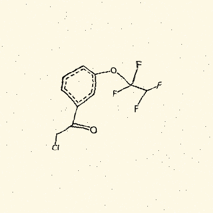 O=C(CCl)c1cccc(OC(F)(F)C(F)F)c1